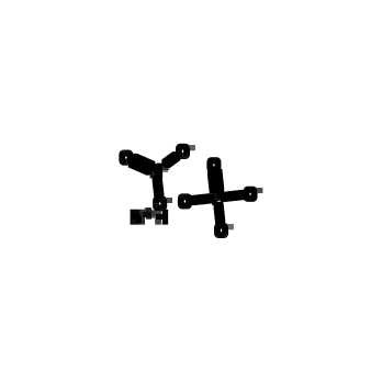 O=P([O-])([O-])[O-].O=[N+]([O-])[O-].[BiH+4]